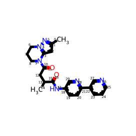 Cc1cc2n(n1)CCCN2C(=O)CC(C)C(=O)Nc1ccc(-c2cccnc2)nc1